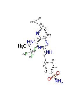 C[C@H](Nc1nc(NCc2ccc(S(N)(=O)=O)cc2)nc2ccc(C3CC3)nc12)C(F)(F)F